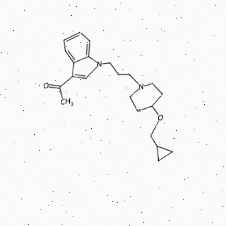 CC(=O)c1cn(CCCN2CCC(OCC3CC3)CC2)c2ccccc12